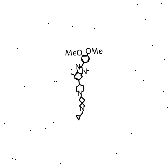 COc1ccc(-c2nc3c(C)cc(C4CCN(C5CC6(C5)CN(CC5CC5)C6)CC4)cc3n2C)cc1OC